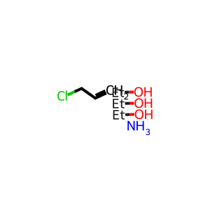 C=CCCl.CCO.CCO.CCO.N